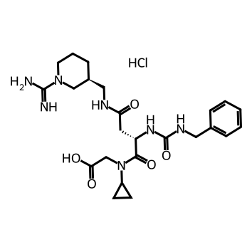 Cl.N=C(N)N1CCC[C@@H](CNC(=O)C[C@H](NC(=O)NCc2ccccc2)C(=O)N(CC(=O)O)C2CC2)C1